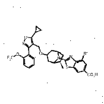 C[C@@H]1CC2CC(OCc3c(-c4ccccc4OC(F)(F)F)noc3C3CC3)CC1N2c1nc2c(Br)cc(C(=O)O)cc2s1